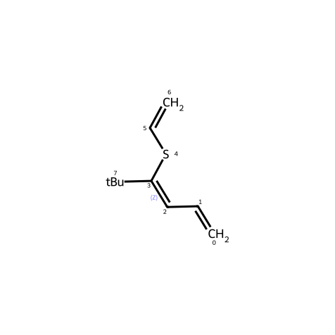 C=C/C=C(\SC=C)C(C)(C)C